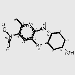 Cc1nc(N[C@H]2CC[C@@H](O)CC2)c(Br)cc1[N+](=O)[O-]